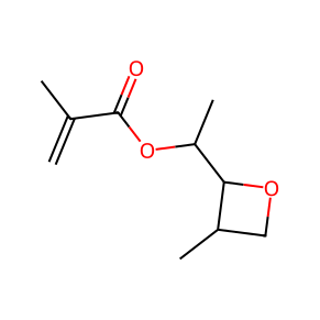 C=C(C)C(=O)OC(C)C1OCC1C